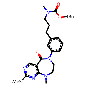 CSc1ncc2c(n1)N(C)CCN(c1cccc(CCCN(C)C(=O)OC(C)(C)C)c1)C2=O